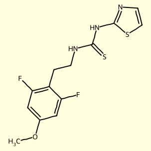 COc1cc(F)c(CCNC(=S)Nc2nccs2)c(F)c1